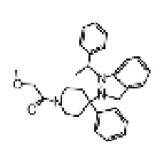 COCC(=O)N1CCC(c2ccccc2)(N2Cc3ccccc3N2C(C)c2ccccc2)CC1